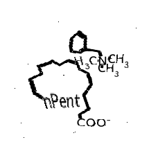 CCCCC/C=C\C/C=C\C/C=C\C/C=C\CCCC(=O)[O-].C[N+](C)(C)Cc1ccccc1